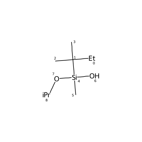 CCC(C)(C)[Si](C)(O)OC(C)C